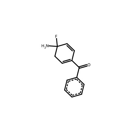 NC1(F)C=CC(C(=O)c2ccccc2)=CC1